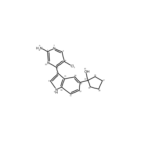 Nc1ncc(Cl)c(-c2c[nH]c3ccc(C4(O)CCCC4)cc23)n1